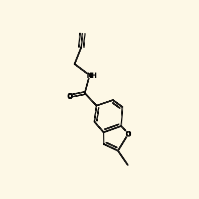 C#CCNC(=O)c1ccc2oc(C)cc2c1